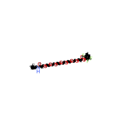 Cc1cc(F)c(F)c(OC(=O)CCOCCOCCOCCOCCOCCOCCOCCC(=O)NCCC(C)(C)C)c1F